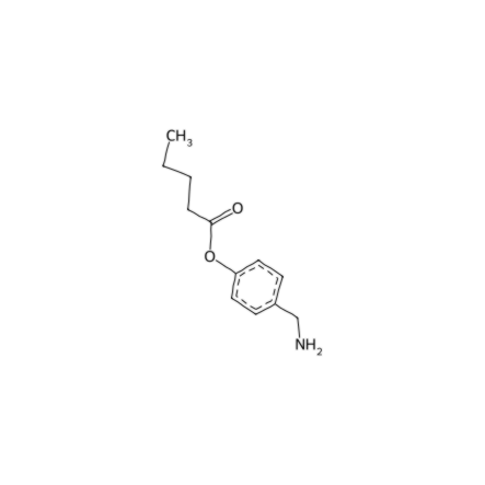 CCCCC(=O)Oc1ccc(CN)cc1